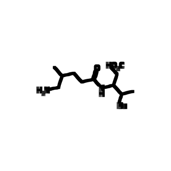 CCC(C)C(C)C(CC(=O)O)NC(=O)CCC(C)CN